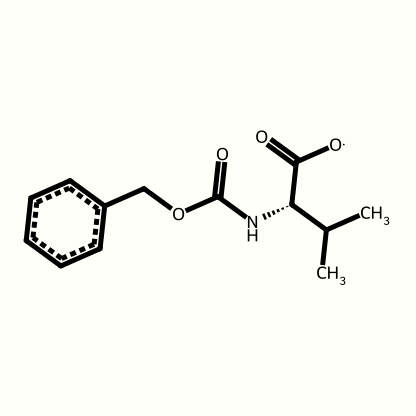 CC(C)[C@H](NC(=O)OCc1ccccc1)C([O])=O